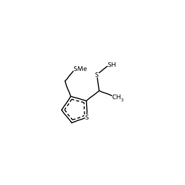 CSCc1ccsc1C(C)SS